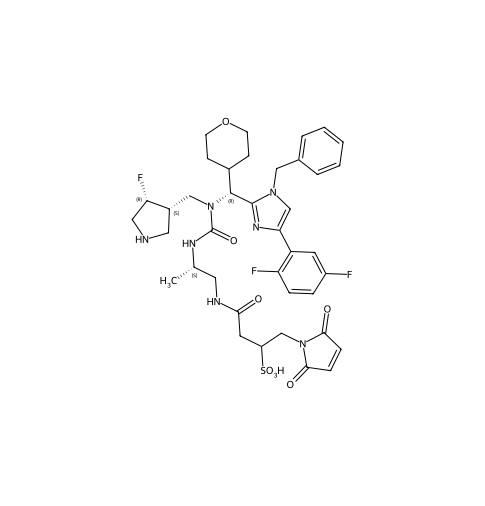 C[C@@H](CNC(=O)CC(CN1C(=O)C=CC1=O)S(=O)(=O)O)NC(=O)N(C[C@@H]1CNC[C@@H]1F)[C@@H](c1nc(-c2cc(F)ccc2F)cn1Cc1ccccc1)C1CCOCC1